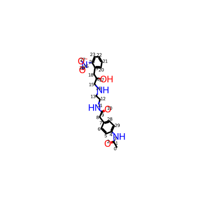 CC(=O)Nc1ccc(CC(=O)NCCNCC(O)Cc2ccccc2[N+](=O)[O-])cc1